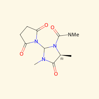 CNC(=O)N1C(N2C(=O)CCC2=O)N(C)C(=O)[C@@H]1C